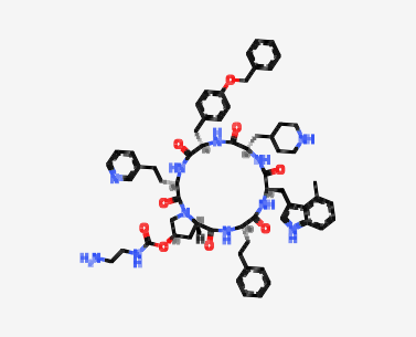 Cc1cccc2[nH]cc(C[C@H]3NC(=O)[C@H](CCc4ccccc4)NC(=O)[C@@H]4C[C@@H](OC(=O)NCCN)CN4C(=O)[C@H](CCc4cccnc4)NC(=O)[C@H](Cc4ccc(OCc5ccccc5)cc4)NC(=O)[C@H](CC4CCNCC4)NC3=O)c12